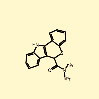 CCCN(CCC)C(=O)C1Sc2ccccc2-c2[nH]c3ccccc3c21